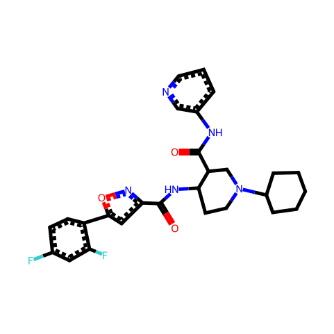 O=C(NC1CCN(C2CCCCC2)CC1C(=O)Nc1cccnc1)c1cc(-c2ccc(F)cc2F)on1